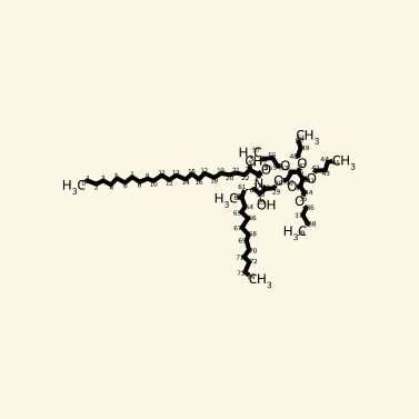 CCCCCCCCCCCCCCCCCCCCCCCC(C)C(=O)N1C(COC2OC(COCCCC)C(OCCCC)C(OCCCC)C2OCCCC)[C@H](O)[C@@H]1CC(C)CCCCCCCCCCC